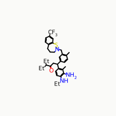 CCNc1ccc(C(CC(=O)C(CC)CC)c2ccc(C)c(CN3CCCc4ccc(C(F)(F)F)cc4S3)c2)c(C)c1N